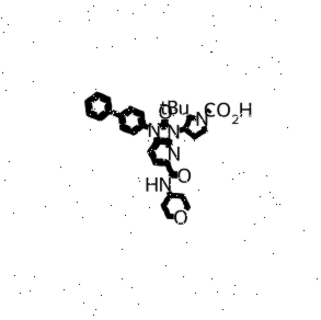 CC(C)(C)C1C(n2c(=O)n(-c3ccc(-c4ccccc4)cc3)c3ccc(C(=O)NC4CCOCC4)nc32)CCN1C(=O)O